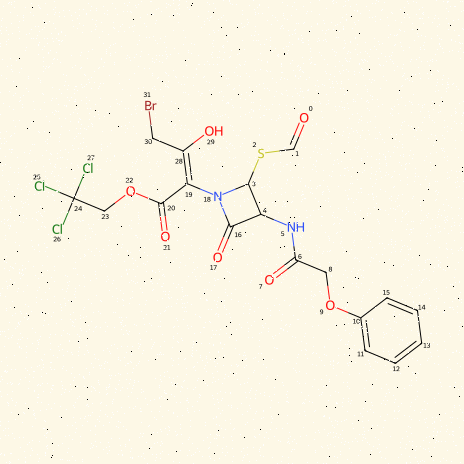 O=CSC1C(NC(=O)COc2ccccc2)C(=O)N1C(C(=O)OCC(Cl)(Cl)Cl)=C(O)CBr